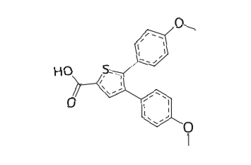 COc1ccc(-c2cc(C(=O)O)sc2-c2ccc(OC)cc2)cc1